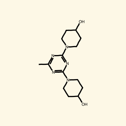 Cc1nc(N2CCC(O)CC2)nc(N2CCC(O)CC2)n1